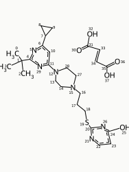 CC(C)(C)c1nc(C2CC2)cc(N2CCN(CCCSc3nccc(O)n3)CC2)n1.O=C(O)/C=C/C(=O)O